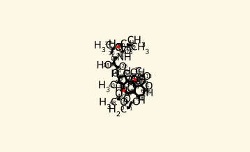 C=CC1O[C@H]2C[C@H]3OCC3(OC(C)=O)[C@H]3[C@H](O)[C@]4(C(C)(C)O)C[C@H](OC(=O)[C@H](O)[C@H](CC(C)C)NC(=O)OC(C)(C)C)C(C)=C4[C@H](OC(C)=O)[C@H](O1)[C@]23C